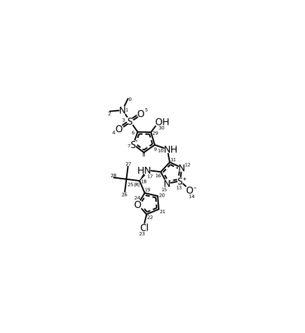 CN(C)S(=O)(=O)c1scc(Nc2n[s+]([O-])nc2N[C@@H](c2ccc(Cl)o2)C(C)(C)C)c1O